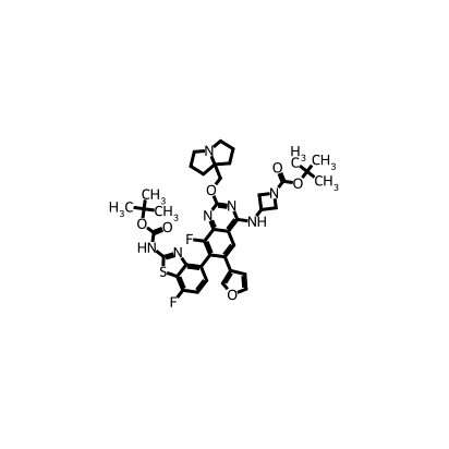 CC(C)(C)OC(=O)Nc1nc2c(-c3c(-c4ccoc4)cc4c(NC5CN(C(=O)OC(C)(C)C)C5)nc(OCC56CCCN5CCC6)nc4c3F)ccc(F)c2s1